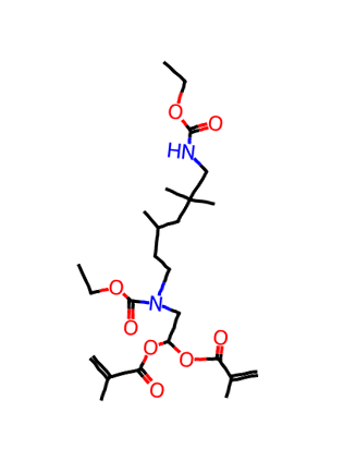 C=C(C)C(=O)OC(CN(CCC(C)CC(C)(C)CNC(=O)OCC)C(=O)OCC)OC(=O)C(=C)C